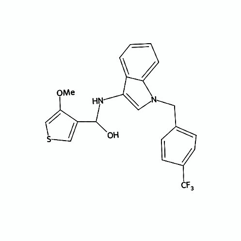 COc1cscc1C(O)Nc1cn(Cc2ccc(C(F)(F)F)cc2)c2ccccc12